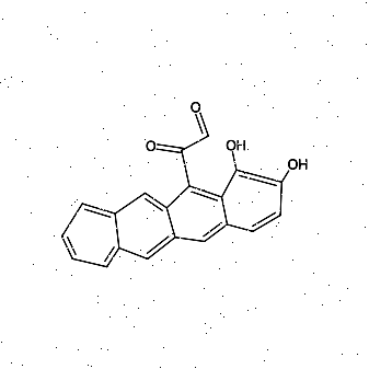 O=CC(=O)c1c2cc3ccccc3cc2cc2ccc(O)c(O)c12